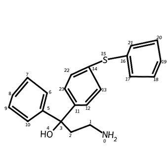 NCCC(O)(c1ccccc1)c1ccc(Sc2ccccc2)cc1